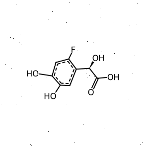 O=C(O)[C@H](O)c1cc(O)c(O)cc1F